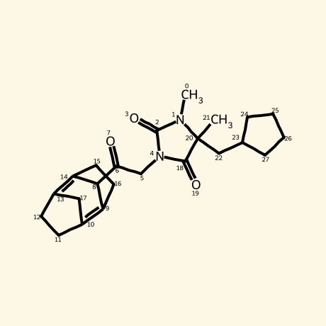 CN1C(=O)N(CC(=O)C2C3=C4CCC(=C2CC3)C4)C(=O)C1(C)CC1CCCC1